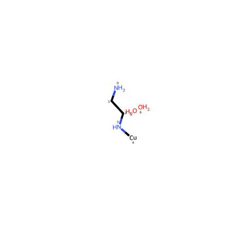 NCC[NH][Cu].O.O